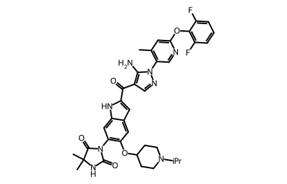 Cc1cc(Oc2c(F)cccc2F)ncc1-n1ncc(C(=O)c2cc3cc(OC4CCN(C(C)C)CC4)c(N4C(=O)NC(C)(C)C4=O)cc3[nH]2)c1N